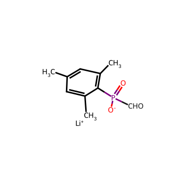 Cc1cc(C)c(P(=O)([O-])C=O)c(C)c1.[Li+]